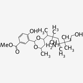 COC(=O)c1ccc(O)c(C2OC(C)CC(C(C)C(C)(C)CC(C)(N)C(C)(C)CCO)O2)c1